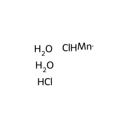 Cl.Cl.O.O.[Mn]